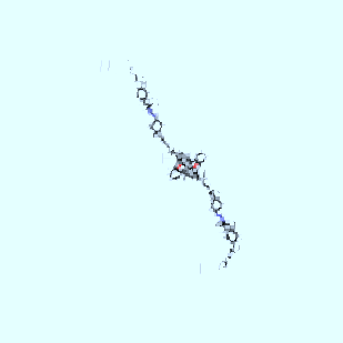 CCCCCOc1ccc(OC(=O)/C=C/c2ccc(OCCCCCCOC(=O)C(C(=O)OCCCCCCOc3ccc(/C=C/C(=O)Oc4ccc(OCCCCC)cc4)cc3)(C(N)c3ccccc3)C(N)c3ccccc3)cc2)cc1